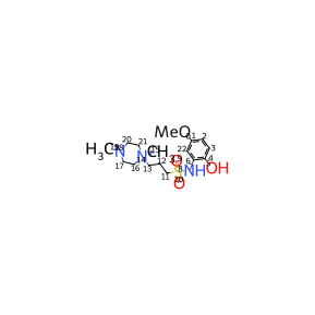 COc1ccc(O)c(NS(=O)(=O)CCC[N+]2(C)CCN(C)CC2)c1